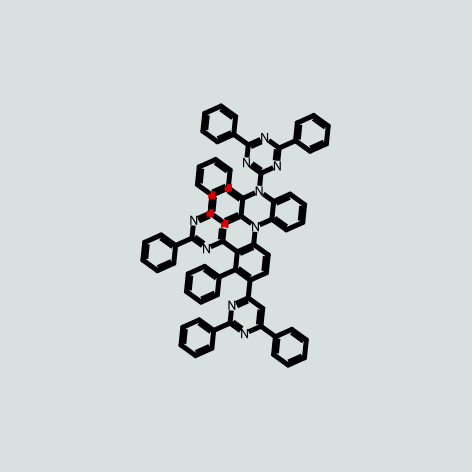 c1ccc(-c2cc(-c3ccc(N4c5ccccc5N(c5nc(-c6ccccc6)nc(-c6ccccc6)n5)c5ccccc54)c(-c4nc(-c5ccccc5)nc(-c5ccccc5)n4)c3-c3ccccc3)nc(-c3ccccc3)n2)cc1